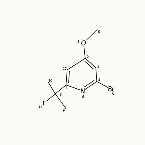 COc1cc(Br)nc(C(C)(C)F)c1